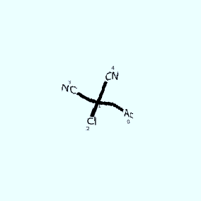 CC(=O)C(Cl)(C#N)C#N